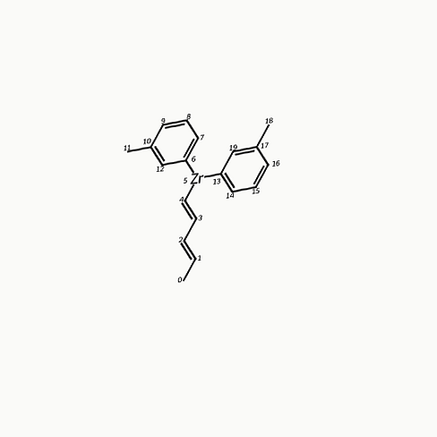 CC=CC=[CH][Zr]([c]1cccc(C)c1)[c]1cccc(C)c1